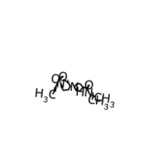 CC#CC[N+]1(C(=O)[O-])CCCC(N2CCC(C(=O)NCC(C)C)CC2)CC1